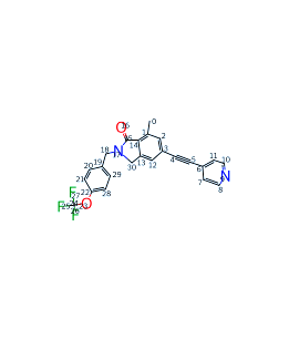 Cc1cc(C#Cc2ccncc2)cc2c1C(=O)N(Cc1ccc(OC(F)(F)F)cc1)C2